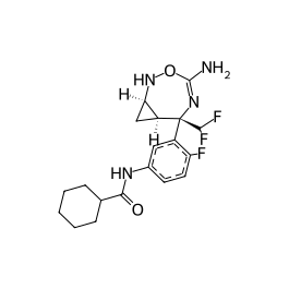 NC1=N[C@@](c2cc(NC(=O)C3CCCCC3)ccc2F)(C(F)F)[C@H]2C[C@H]2NO1